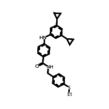 CCSc1ccc(CNC(=O)c2ccc(Nc3cc(C4CC4)cc(C4CC4)c3)cc2)cc1